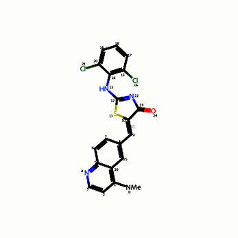 CNc1ccnc2ccc(/C=C3\SC(Nc4c(Cl)cccc4Cl)=NC3=O)cc12